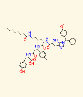 CCCCCCCC(=O)NCCCCC(NC(=O)C(N)Cc1cn(C(c2ccccc2)c2ccc(OC)cc2)cn1)C(=O)NC(CC(=O)NC(Cc1ccc(O)cc1)C(=O)O)c1ccc(C)cc1